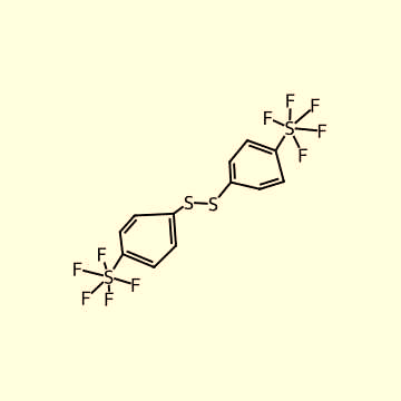 FS(F)(F)(F)(F)c1ccc(SSc2ccc(S(F)(F)(F)(F)F)cc2)cc1